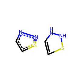 C1=CSNN1.c1csnn1